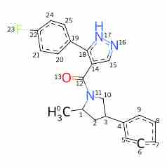 CC1CC(c2ccccc2)CN1C(=O)c1cn[nH]c1-c1ccc(F)cc1